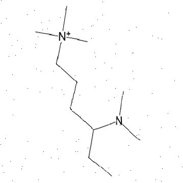 CCC(CCC[N+](C)(C)C)N(C)C